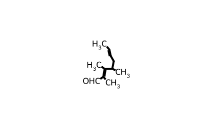 C/C=C/CC(C)/C(C)=C(\C)C=O